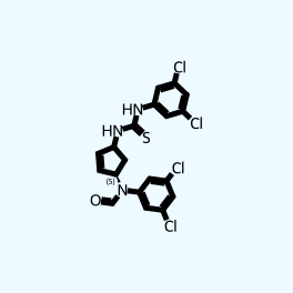 O=CN(c1cc(Cl)cc(Cl)c1)[C@@H]1C=CC(NC(=S)Nc2cc(Cl)cc(Cl)c2)C1